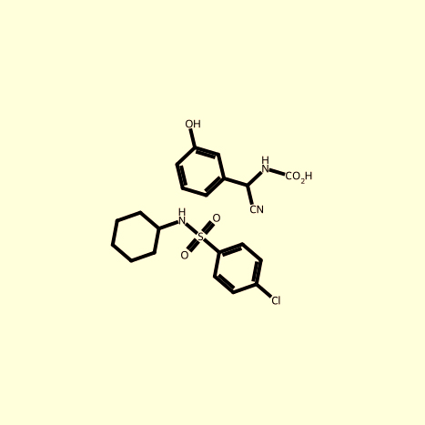 N#CC(NC(=O)O)c1cccc(O)c1.O=S(=O)(NC1CCCCC1)c1ccc(Cl)cc1